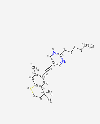 CCOC(=O)CCCCc1ncc(C#Cc2cc3c(cc2C)SCCC3(CC)CC)cn1